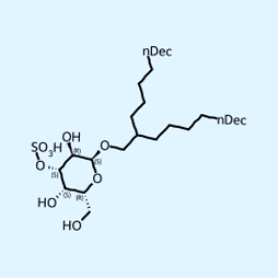 CCCCCCCCCCCCCCC(CCCCCCCCCCCCCC)CO[C@H]1O[C@H](CO)[C@H](O)[C@H](OS(=O)(=O)O)[C@H]1O